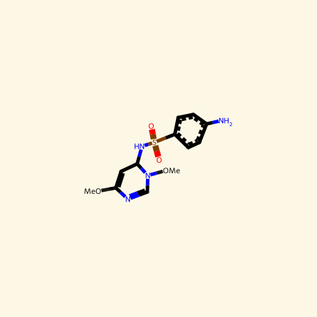 COC1=CC(NS(=O)(=O)c2ccc(N)cc2)N(OC)C=N1